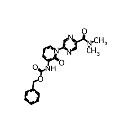 CN(C)C(=O)c1cnc(-n2cccc(NC(=O)OCc3ccccc3)c2=O)cn1